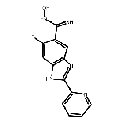 N=C(NO)c1cc2nc(-c3ccccn3)[nH]c2cc1F